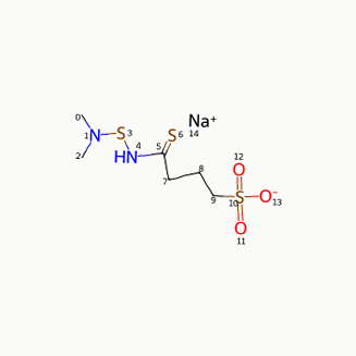 CN(C)SNC(=S)CCCS(=O)(=O)[O-].[Na+]